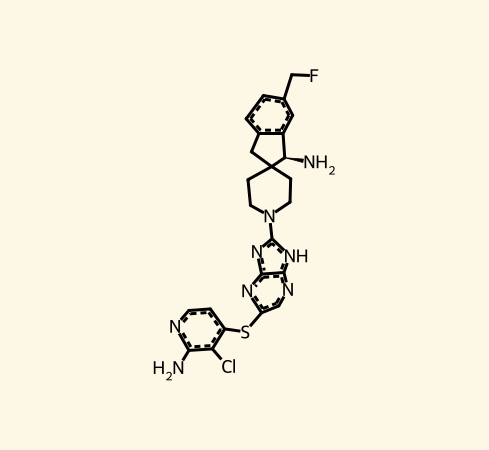 Nc1nccc(Sc2cnc3[nH]c(N4CCC5(CC4)Cc4ccc(CF)cc4[C@H]5N)nc3n2)c1Cl